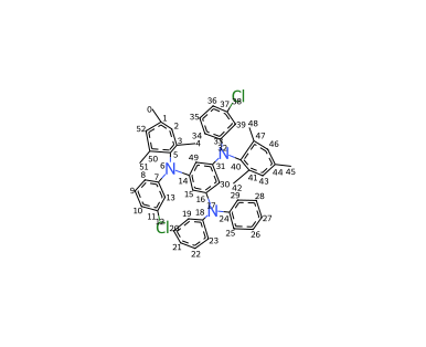 Cc1cc(C)c(N(c2cccc(Cl)c2)c2cc(N(c3ccccc3)c3ccccc3)cc(N(c3cccc(Cl)c3)c3c(C)cc(C)cc3C)c2)c(C)c1